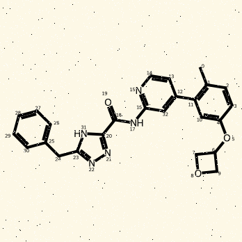 Cc1ccc(OC2COC2)cc1-c1ccnc(NC(=O)c2nnc(Cc3ccccc3)[nH]2)c1